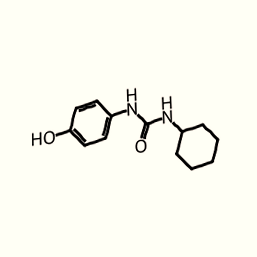 O=C(Nc1ccc(O)cc1)NC1CCCCC1